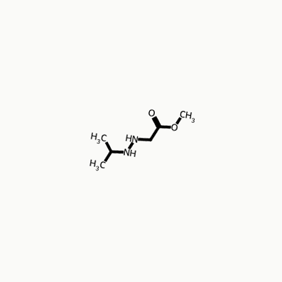 COC(=O)CNNC(C)C